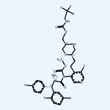 COC(=O)N(C(=O)[C@@H](N)[C@@H](c1ccc(F)cc1)c1cc(F)ccc1F)c1cncc(F)c1CC[C@@H]1CN[C@H](COC(=O)NCC(F)(F)F)CO1